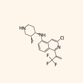 C=C(c1nc(Cl)cc2c(N[C@@H]3CCNC[C@@H]3F)cccc12)C(F)(F)F